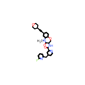 CN1C(=O)C(NC(=O)c2cc(Cc3cccc(F)n3)ccn2)COc2ccc(C#CC3CCOCC3)cc21